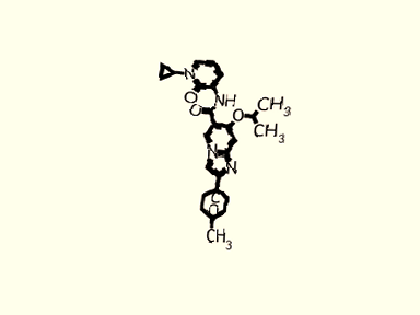 CC(C)Oc1cc2nc(C34CCC(C)(CC3)OC4)cn2cc1C(=O)Nc1cccn(C2CC2)c1=O